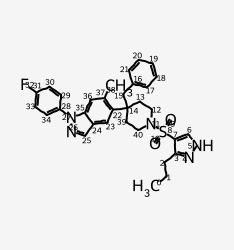 CCCc1n[nH]cc1S(=O)(=O)N1CCC(Cc2ccccc2)(c2cc3cnn(-c4ccc(F)cc4)c3cc2C)CC1